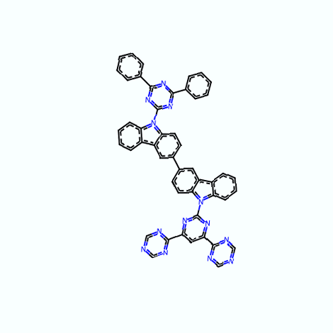 c1ccc(-c2nc(-c3ccccc3)nc(-n3c4ccccc4c4cc(-c5ccc6c(c5)c5ccccc5n6-c5nc(-c6ncncn6)cc(-c6ncncn6)n5)ccc43)n2)cc1